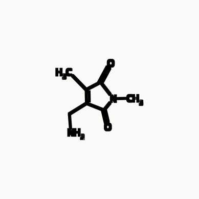 CC1=C(CN)C(=O)N(C)C1=O